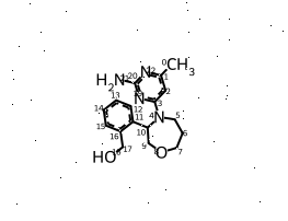 Cc1cc(N2CCCOCC2c2ccccc2CO)nc(N)n1